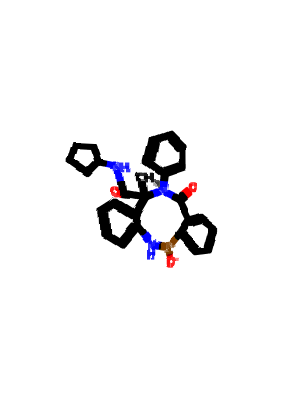 CC1(C(=O)NC2CCCC2)c2ccccc2N[S+]([O-])c2ccccc2C(=O)N1c1ccccc1